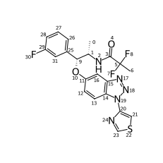 C[C@H](NC(=O)C(C)(F)F)[C@H](Oc1ccc2c(c1)nnn2-c1cscn1)c1cccc(F)c1